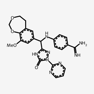 COc1cc(C(Nc2ccc(C(=N)N)cc2)c2nn(-c3ncccn3)c(=O)[nH]2)cc2c1OCOCC2